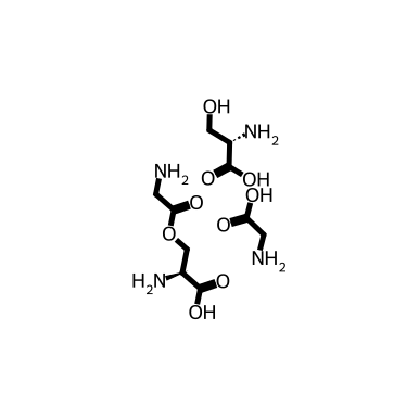 NCC(=O)O.NCC(=O)OC[C@H](N)C(=O)O.N[C@@H](CO)C(=O)O